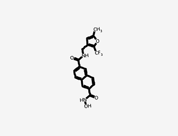 Cc1cc(CNC(=O)c2ccc3cc(C(=O)NO)ccc3c2)c(C(F)(F)F)o1